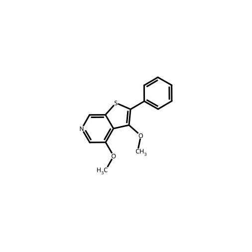 COc1cncc2sc(-c3ccccc3)c(OC)c12